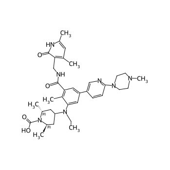 CCN(c1cc(-c2ccc(N3CCN(C)CC3)nc2)cc(C(=O)NCc2c(C)cc(C)[nH]c2=O)c1C)C1C[C@@H](C)N(C(=O)O)[C@H](C)C1